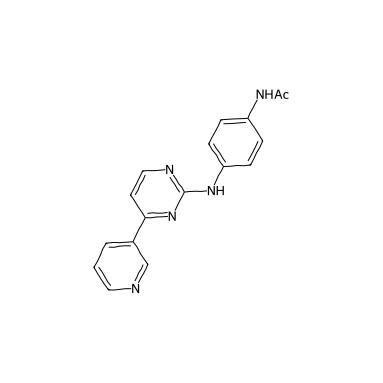 CC(=O)Nc1ccc(Nc2nccc(-c3cccnc3)n2)cc1